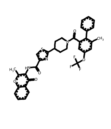 Cc1cc(OC(F)(F)F)cc(C(=O)N2CCC(c3nc(C(=O)Nc4c(C)oc5ccccc5c4=O)cs3)CC2)c1-c1ccccc1